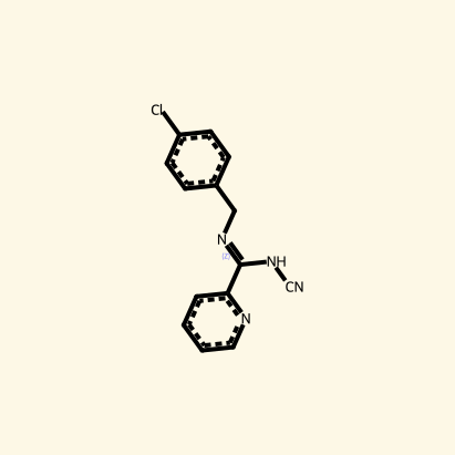 N#CN/C(=N\Cc1ccc(Cl)cc1)c1ccccn1